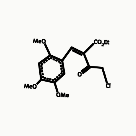 CCOC(=O)C(=Cc1cc(OC)c(OC)cc1OC)C(=O)CCl